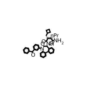 CCC[C@H](C(N)=O)[C@@H](CC1CCC1)C(=O)NC1C(=O)N(c2cccc(C(=O)c3ccccc3)c2)c2ccccc2-c2ccccc21